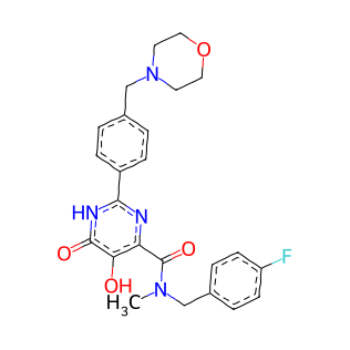 CN(Cc1ccc(F)cc1)C(=O)c1nc(-c2ccc(CN3CCOCC3)cc2)[nH]c(=O)c1O